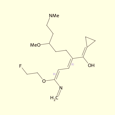 C=N/C(=C\C=C(/CCC(CCNC)OC)C(O)=C1CC1)OCCF